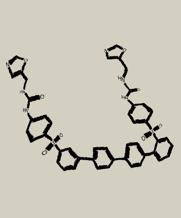 O=C(NCc1cnco1)Nc1ccc(S(=O)(=O)c2cccc(-c3ccc(-c4ccc(-c5ccccc5S(=O)(=O)c5ccc(NC(=O)NCc6cnco6)cc5)cc4)cc3)c2)cc1